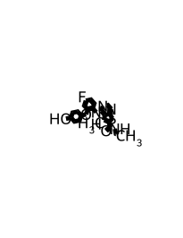 CCNC(=O)c1sc2ncnc(Nc3ccc(F)cc3OC3CCC(O)CC3)c2c1C